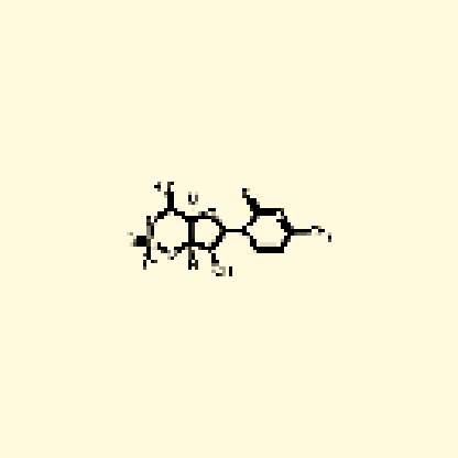 Cc1ccn([C@@H]2O[C@@H]3C(C)OP(=O)(C(C)C)O[C@H]3[C@@H]2O)c(=O)n1